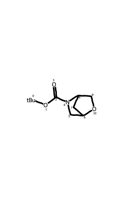 CC(C)(C)OC(=O)N1CC2CC1CO2